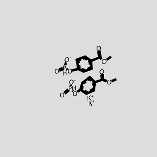 COC(=O)c1ccc(O[PH](=O)[O-])cc1.COC(=O)c1ccc(O[PH](=O)[O-])cc1.[K+].[K+]